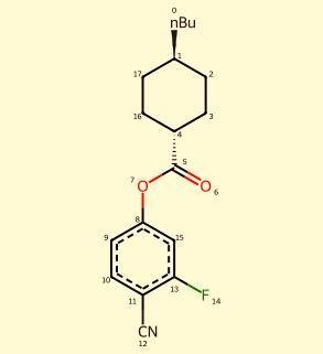 CCCC[C@H]1CC[C@H](C(=O)Oc2ccc(C#N)c(F)c2)CC1